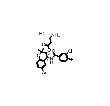 CC(=O)c1ccc2c(c1)[C@H](NC(=O)c1ccc(F)c(Cl)c1)[C@H](OC(=O)CCN)C(C)(C)O2.Cl